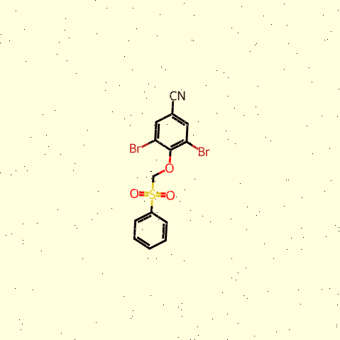 N#Cc1cc(Br)c(OCS(=O)(=O)c2ccccc2)c(Br)c1